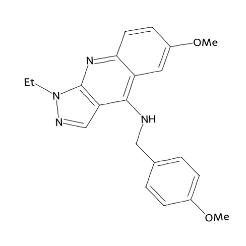 CCn1ncc2c(NCc3ccc(OC)cc3)c3cc(OC)ccc3nc21